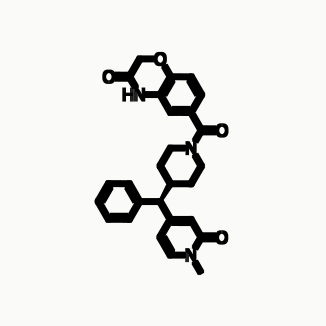 Cn1ccc([C@@H](c2ccccc2)C2CCN(C(=O)c3ccc4c(c3)NC(=O)CO4)CC2)cc1=O